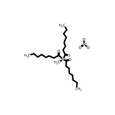 CCCCCCCC(=O)[N+](C)(C(=O)CCCCCCC)C(=O)CCCCCCC.O=[N+]([O-])[O-]